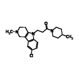 CC1CCN(C(=O)CCn2c3c(c4cc(Cl)ccc42)CN(C)CC3)CC1